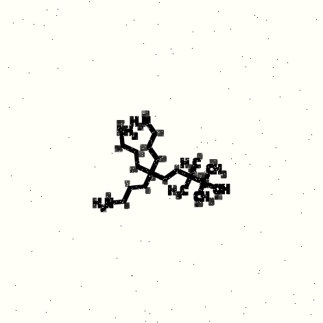 CC(C)(CCC(CCCN)(CCCN)CCCN)[Si](C)(C)O